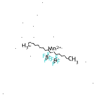 CCCCCCCCCCCCCCCC.F[B-](F)(F)F.F[B-](F)(F)F.[Mn+2]